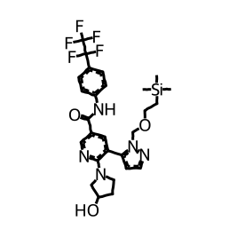 C[Si](C)(C)CCOCn1nccc1-c1cc(C(=O)Nc2ccc(C(F)(F)C(F)(F)F)cc2)cnc1N1CCC(O)C1